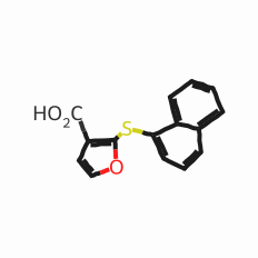 O=C(O)c1ccoc1Sc1cccc2ccccc12